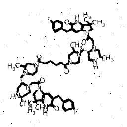 CC1CN(C(=O)CCCCC(=O)N2CCN(C[C@H]3CN[C@H](C)CN3CC(=O)N3CC(C)(C)c4[nH]c(=O)c(Cc5ccc(F)cc5)cc43)C(C)C2)CCN1C[C@H]1CN[C@H](C)CN1CC(=O)N1CC(C)(C)c2[nH]c(=O)c(Cc3ccc(F)cc3)cc21